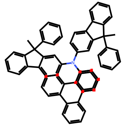 CC1(c2ccccc2)c2ccccc2-c2ccc(N(c3ccc4c(c3)C(C)(c3ccccc3)c3ccccc3-4)c3ccccc3-c3ccccc3-c3ccccc3-c3ccccc3)cc21